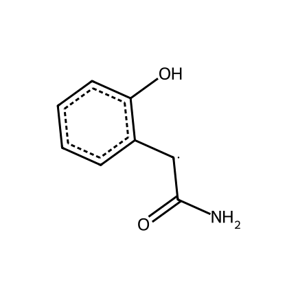 NC(=O)[CH]c1ccccc1O